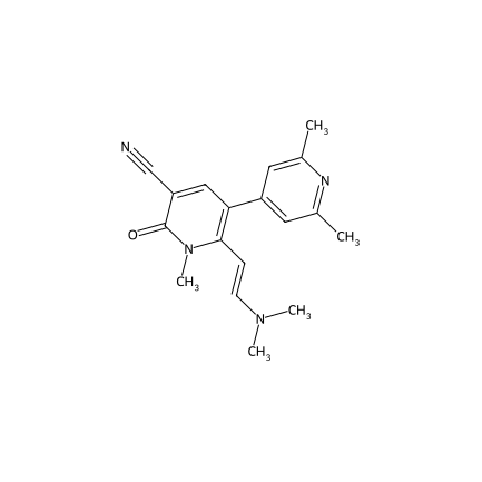 Cc1cc(-c2cc(C#N)c(=O)n(C)c2C=CN(C)C)cc(C)n1